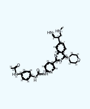 CNCC(C=N)c1ccc2c(N3CCOCC3)nc(-c3ccc(NC(=O)Nc4ccc(NC(C)=O)cc4)nc3)nc2c1